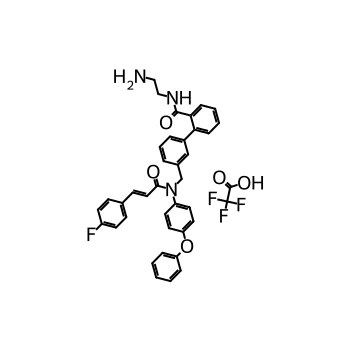 NCCNC(=O)c1ccccc1-c1cccc(CN(C(=O)/C=C/c2ccc(F)cc2)c2ccc(Oc3ccccc3)cc2)c1.O=C(O)C(F)(F)F